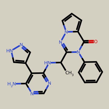 CC(Nc1ncnc(N)c1-c1cn[nH]c1)c1nn2cccc2c(=O)n1-c1ccccc1